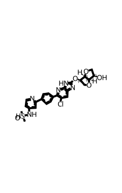 C[SH](C)(=O)Nc1ccnc(-c2ccc(-c3nc4[nH]c(O[C@@H]5CO[C@H]6[C@@H]5OC[C@H]6O)nc4cc3Cl)cc2)c1